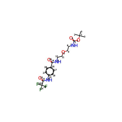 CC(C)(C)OC(=O)NCCOCCNC(=O)c1ccc(NC(=O)C(F)(F)F)cc1